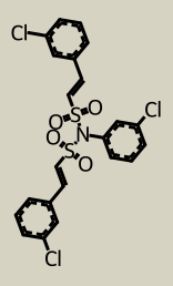 O=S(=O)(/C=C/c1cccc(Cl)c1)N(c1cccc(Cl)c1)S(=O)(=O)/C=C/c1cccc(Cl)c1